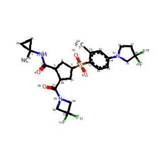 N#CC1(NC(=O)C2CC(S(=O)(=O)c3ccc(N4CCC(F)(F)C4)cc3C(F)(F)F)CC2C(=O)N2CC(F)(F)C2)CC1